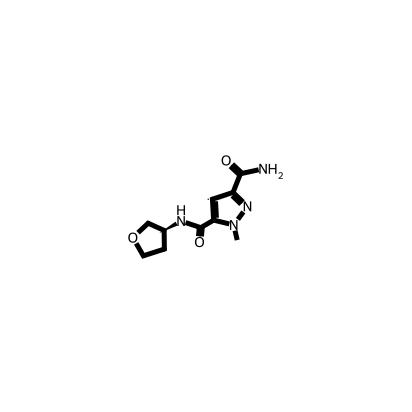 Cn1nc(C(N)=O)[c]c1C(=O)N[C@H]1CCOC1